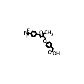 Cc1oc(-c2ccc(C(F)(F)F)cc2)cc1COc1ccc(CC(=O)O)cc1